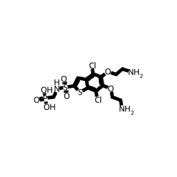 NCCOc1c(OCCN)c(Cl)c2sc(S(=O)(=O)NCP(=O)(O)O)cc2c1Cl